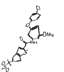 COc1cc(NC(=O)c2cc3cc(C(C)(C)S(C)(=O)=O)ccc3s2)cc(Oc2ccc(Cl)cc2)c1